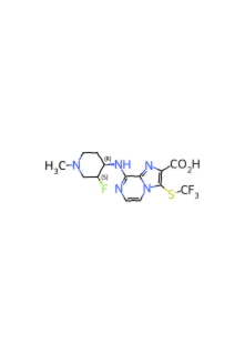 CN1CC[C@@H](Nc2nccn3c(SC(F)(F)F)c(C(=O)O)nc23)[C@@H](F)C1